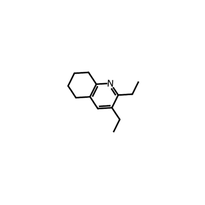 CCc1cc2c(nc1CC)CCCC2